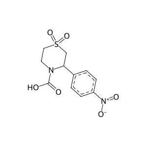 O=C(O)N1CCS(=O)(=O)CC1c1ccc([N+](=O)[O-])cc1